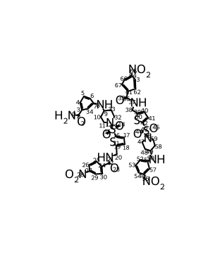 NC(=O)c1cccc(NC2CCN(S(=O)(=O)c3ccc(CNC(=O)c4ccc([N+](=O)[O-])cc4)s3)CC2)c1.O=C(NCc1ccc(S(=O)(=O)N2CCC(Nc3cccc([N+](=O)[O-])c3)CC2)s1)c1ccc([N+](=O)[O-])cc1